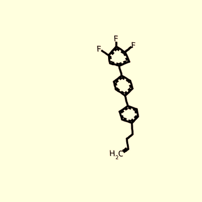 C=CCCc1ccc(-c2ccc(-c3cc(F)c(F)c(F)c3)cc2)cc1